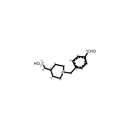 O=Cc1ccc(CN2CCC(CC(=O)O)CC2)cc1